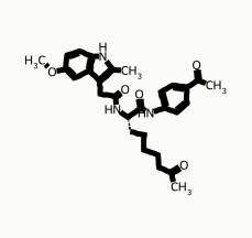 COc1ccc2[nH]c(C)c(CC(=O)N[C@@H](CCCCCC(C)=O)C(=O)Nc3ccc(C(C)=O)cc3)c2c1